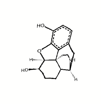 Oc1ccc2c3c1O[C@@H]1[C@H](O)CCC4[C@H](C2)NCC[C@]341